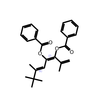 C=C(C)/C(OC(=O)c1ccccc1)=C(\C=C(/C)C(C)(C)C)OC(=O)c1ccccc1